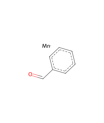 O=Cc1ccccc1.[Mn]